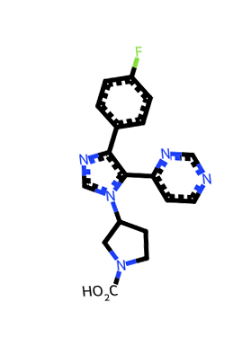 O=C(O)N1CCC(n2cnc(-c3ccc(F)cc3)c2-c2ccncn2)C1